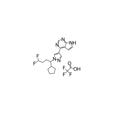 FC(F)CCC(C1CCCC1)n1cc(-c2ncnc3[nH]ccc23)cn1.O=C(O)C(F)(F)F